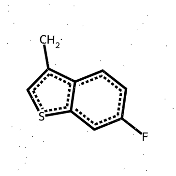 [CH2]c1csc2cc(F)ccc12